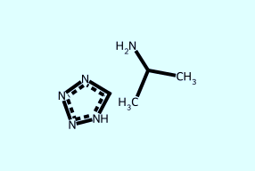 CC(C)N.c1nnn[nH]1